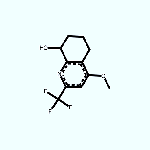 COc1cc(C(F)(F)F)nc2c1CCCC2O